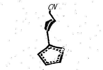 N#CC=Cc1cccs1